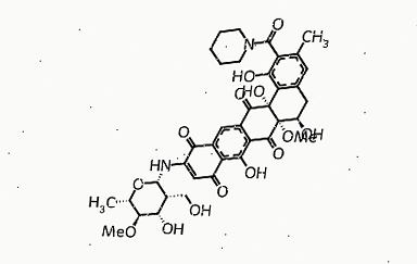 CO[C@@H]1[C@@H](O)[C@@H](CO)[C@@H](NC2=CC(=O)c3c(cc4c(c3O)C(=O)[C@]3(OC)[C@H](O)Cc5cc(C)c(C(=O)N6CCCCC6)c(O)c5[C@]3(O)C4=O)C2=O)O[C@H]1C